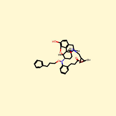 CC(C)(C)OC(=O)CCc1ccccc1N(OCCCc1ccccc1)[C@@H]1CC[C@H]2[C@H]3Cc4ccc(O)c5c4[C@@]2(CCN3CC2CC2)[C@H]1O5